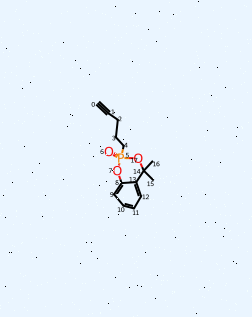 C#CCCCP1(=O)Oc2ccccc2C(C)(C)O1